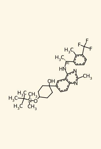 Cc1nc(N[C@H](C)c2cccc(C(F)(F)F)c2C)c2cc(C3(O)CCC(O[Si](C)(C)C(C)(C)C)CC3)ccc2n1